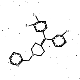 CCc1ccc(C(=C2CCN(Cc3ccccn3)CC2)c2cccc(O)c2)cc1CC